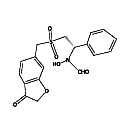 O=CN(O)[C@H](CS(=O)(=O)Cc1ccc2c(c1)OCC2=O)c1ccccc1